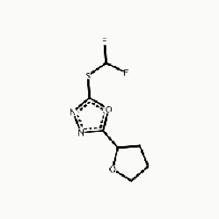 FC(F)Sc1nnc(C2CCCO2)o1